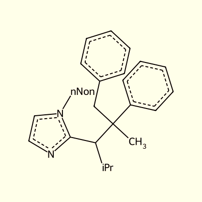 CCCCCCCCCn1ccnc1C(C(C)C)C(C)(Cc1ccccc1)c1ccccc1